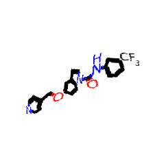 O=C(Nc1cccc(C(F)(F)F)c1)n1ccc2cc(OCc3ccncc3)ccc21